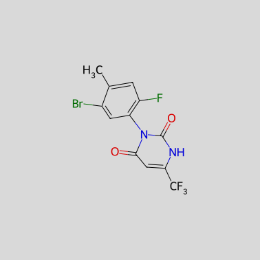 Cc1cc(F)c(-n2c(=O)cc(C(F)(F)F)[nH]c2=O)cc1Br